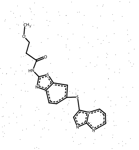 COCCC(=O)Nc1nc2ccc(Sc3cnc4ncccn34)cc2s1